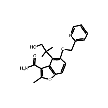 Cc1oc2ccc(OCc3ccccn3)c(C(C)(C)CO)c2c1C(N)=O